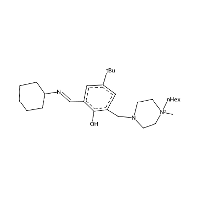 CCCCCC[N+]1(C)CCN(Cc2cc(C(C)(C)C)cc(/C=N/C3CCCCC3)c2O)CC1